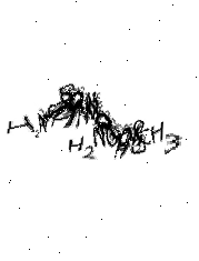 C[C@H](O)C(=O)N1CCC(Oc2ccc(-c3ccnc(Nc4ccc(F)c(OCCN)c4)n3)cc2N)CC1